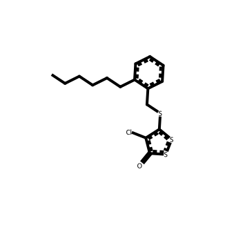 CCCCCCc1ccccc1CSc1ssc(=O)c1Cl